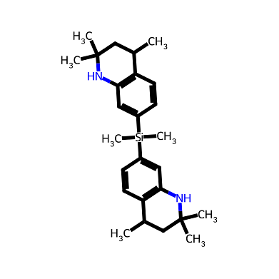 CC1CC(C)(C)Nc2cc([Si](C)(C)c3ccc4c(c3)NC(C)(C)CC4C)ccc21